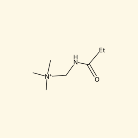 CCC(=O)NC[N+](C)(C)C